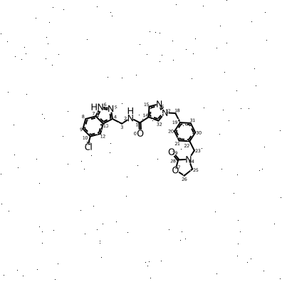 O=C(NCc1n[nH]c2ccc(Cl)cc12)c1cnn(Cc2ccc(CN3CCOC3=O)cc2)c1